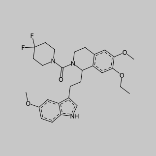 CCOc1cc2c(cc1OC)CCN(C(=O)N1CCC(F)(F)CC1)C2CCc1c[nH]c2ccc(OC)cc12